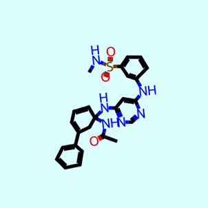 CNS(=O)(=O)c1cccc(Nc2cc(NC3(NC(C)=O)C=CC=C(c4ccccc4)C3)ncn2)c1